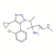 CN/C=C/C(C)(N)C(C)n1cnc(C2CC2)c1-c1ccccc1Cl